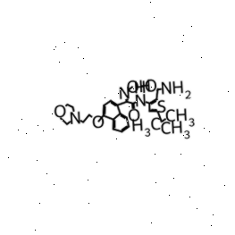 CC(C)(C)c1cc(NC(=O)/C(=N\O)c2ccc(OCCN3CCOCC3)c3ccccc23)c(C(N)=O)s1